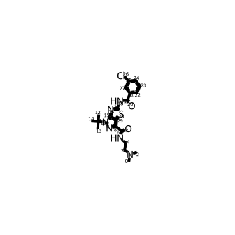 CN(C)CCNC(=O)c1nn(C(C)(C)C)c2nc(NC(=O)c3cccc(Cl)c3)sc12